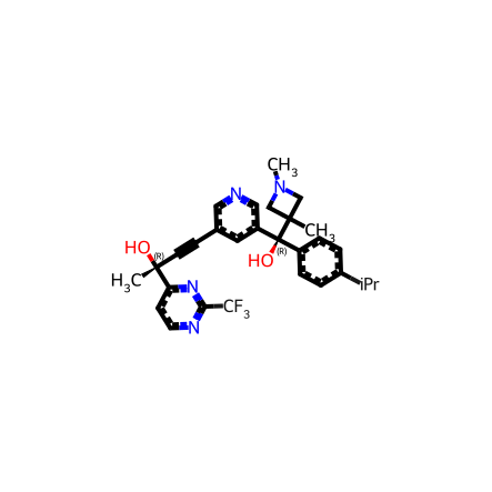 CC(C)c1ccc([C@](O)(c2cncc(C#C[C@@](C)(O)c3ccnc(C(F)(F)F)n3)c2)C2(C)CN(C)C2)cc1